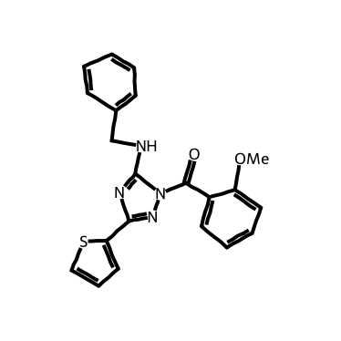 COc1ccccc1C(=O)n1nc(-c2cccs2)nc1NCc1ccccc1